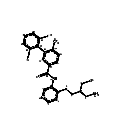 NCC(CCl)COc1ncncc1NC(=O)c1ccc(C(F)(F)F)c(-c2c(F)cccc2F)n1